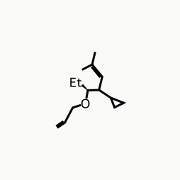 C=CCO[C@@H](CC)C(C=C(C)C)C1CC1